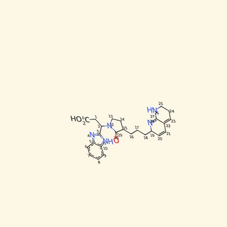 O=C(O)CC(c1nc2ccccc2[nH]1)N1CCC(CCCC2C=CC3=CCCNC3=N2)C1=O